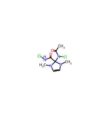 CC(=O)N(Cl)C1(C(=O)NCl)N(C)C=CN1C